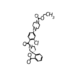 CCOC(=O)N1CCN(c2ccc(C(=O)N3CC[C@@]4(C3)OC(=O)c3ccccc34)c(Cl)c2)CC1